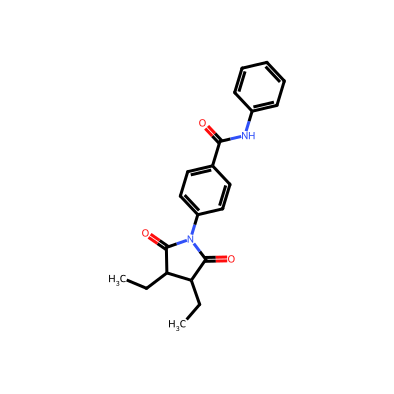 CCC1C(=O)N(c2ccc(C(=O)Nc3ccccc3)cc2)C(=O)C1CC